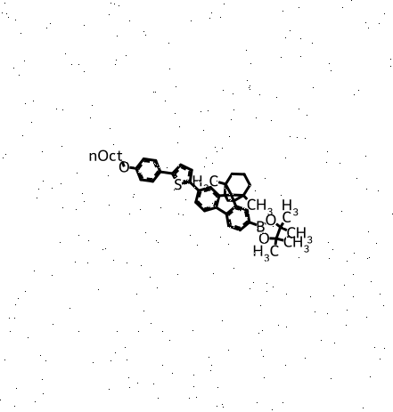 CCCCCCCCOc1ccc(-c2ccc(-c3ccc4c(c3)C3(c5cc(B6OC(C)(C)C(C)(C)O6)ccc5-4)C4(C)CCCC3(C)CCC4)s2)cc1